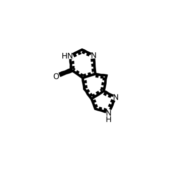 O=c1[nH]cnc2cc3n[nH]cc3cc12